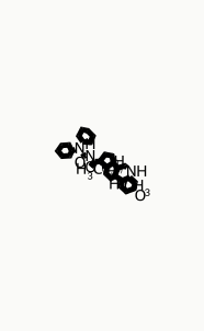 C[C@]12CCC(=O)C=C1NC[C@@H]1[C@H]2CC[C@]2(C)C(C(=O)NC(=O)N(C3CCCCC3)C3CCCCC3)CC[C@@H]12